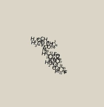 C=C(OC1CCCC1)[C@H](COC(C)(C)C)NCCc1cc(F)c(-n2c(N)c(C(=O)C3=C(F)CC(F)C=C3)ccc2=O)c(F)c1